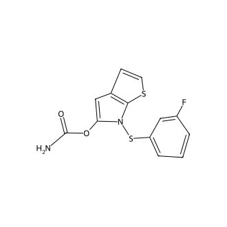 NC(=O)Oc1cc2ccsc2n1Sc1cccc(F)c1